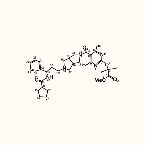 COC(=O)C(C)(C)Oc1nc(C)c(C(=O)N2CC3CN(CCC(NC(=O)C4CCCC4)c4ccccc4)CC3C2)c(C)n1